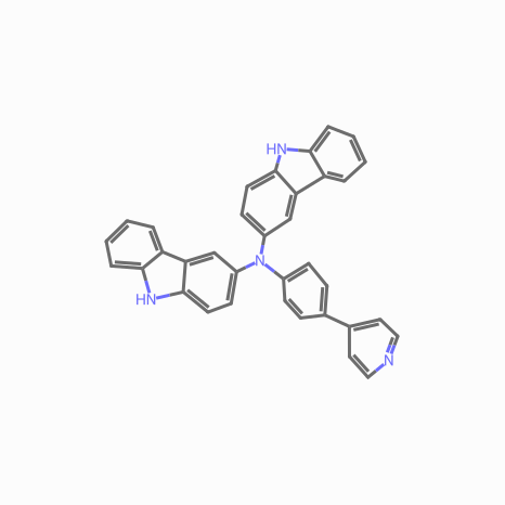 c1ccc2c(c1)[nH]c1ccc(N(c3ccc(-c4ccncc4)cc3)c3ccc4[nH]c5ccccc5c4c3)cc12